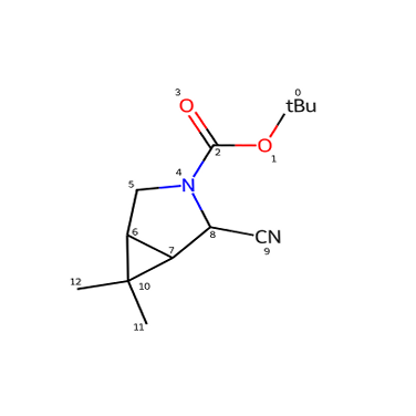 CC(C)(C)OC(=O)N1CC2C(C1C#N)C2(C)C